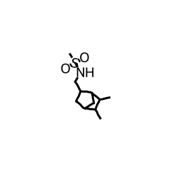 CC1C2CC(CNS(C)(=O)=O)C(C2)C1C